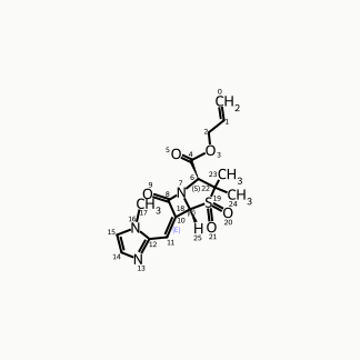 C=CCOC(=O)[C@@H]1N2C(=O)/C(=C\c3nccn3C)[C@H]2S(=O)(=O)C1(C)C